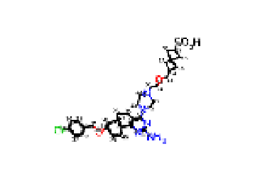 Nc1nc2c(c(N3CCN(CCOCC4CC5(C4)CC(C(=O)O)C5)CC3)n1)CCc1cc(OCc3ccc(Cl)cc3)ccc1-2